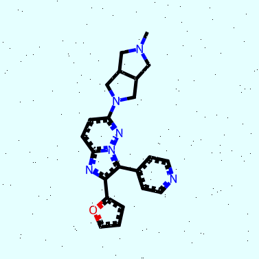 CN1CC2CN(c3ccc4nc(-c5ccco5)c(-c5ccncc5)n4n3)CC2C1